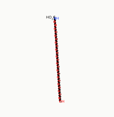 O=C(O)NCCOCCOCCOCCOCCOCCOCCOCCOCCOCCOCCOCCOCCOCCOCCOCCOCCOCCOCCOCCOCCOCCOCCOCCO